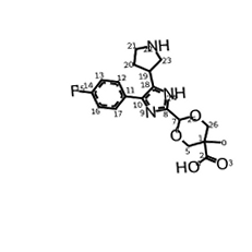 CC1(C(=O)O)COC(c2nc(-c3ccc(F)cc3)c(C3CCNC3)[nH]2)OC1